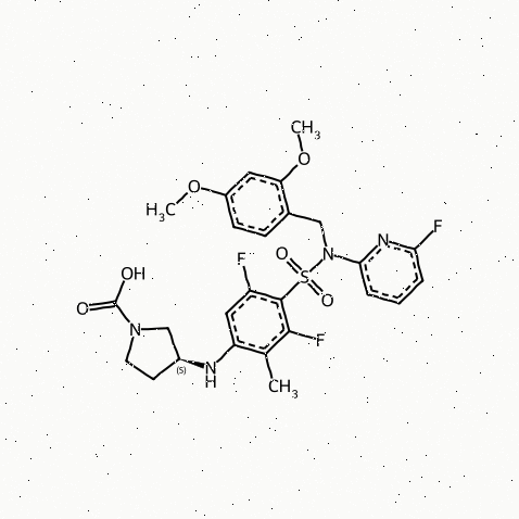 COc1ccc(CN(c2cccc(F)n2)S(=O)(=O)c2c(F)cc(N[C@H]3CCN(C(=O)O)C3)c(C)c2F)c(OC)c1